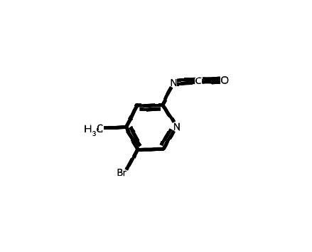 Cc1cc(N=C=O)ncc1Br